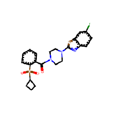 O=C(c1ccccc1S(=O)(=O)C1CCC1)N1CCN(c2nc3ccc(F)cc3s2)CC1